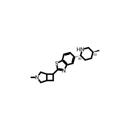 C[C@H]1CC[C@H](c2ccc3sc(C4CC5CN(C)CC54)nc3c2)NC1